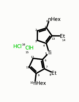 CCCCCCC1=CC[C]([Ti][C]2=C(CC)C(CCCCCC)=CC2)=C1CC.Cl.Cl